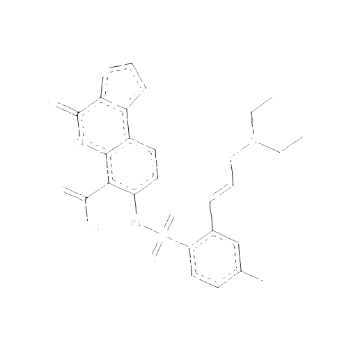 CCN(CC)CC=Cc1cc(F)ccc1S(=O)(=O)Nc1ccc2c([nH]c(=O)c3occc32)c1C(=O)O